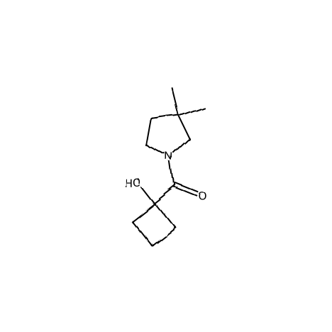 CC1(C)CCN(C(=O)C2(O)CCC2)C1